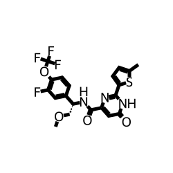 COC[C@@H](NC(=O)c1cc(=O)[nH]c(-c2ccc(C)s2)n1)c1ccc(OC(F)(F)F)c(F)c1